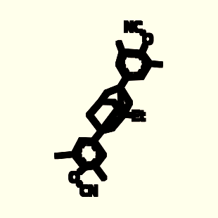 CCC12CC3CC(c4cc(C)c(OC#N)c(C)c4)(C1)CC(c1cc(C)c(OC#N)c(C)c1)(C3)C2